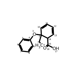 CCC1(Oc2ccccc2)C=CC=CC1C(=O)O